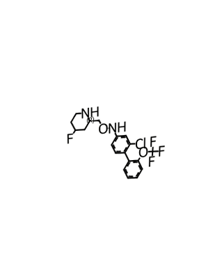 FC1CCN[C@@H](CONc2ccc(-c3ccccc3OC(F)(F)F)c(Cl)c2)C1